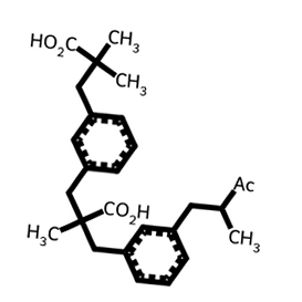 CC(=O)C(C)Cc1cccc(CC(C)(Cc2cccc(CC(C)(C)C(=O)O)c2)C(=O)O)c1